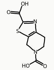 O=C(O)c1nc2c(s1)CN(C(=O)O)CC2